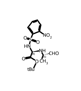 C[C@@H](C=O)N[C@H](NS(=O)(=O)c1ccccc1[N+](=O)[O-])C(=O)OC(C)(C)C